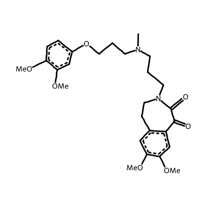 COc1ccc(OCCCN(C)CCCN2CCc3cc(OC)c(OC)cc3C(=O)C2=O)cc1OC